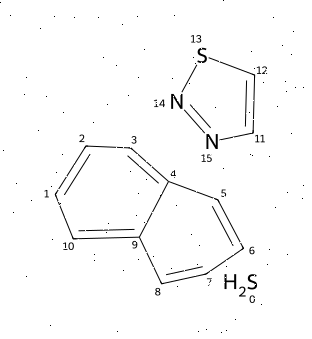 S.c1ccc2ccccc2c1.c1csnn1